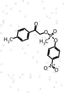 Cc1ccc(C(=O)COP(C)(=O)Oc2ccc([N+](=O)[O-])cc2)cc1